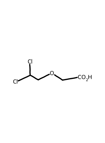 O=C(O)COCC(Cl)Cl